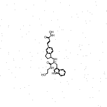 O=C(C=Cc1ccc2c(c1)CCC2N[C@@H](Cc1c[nH]c2ccccc12)C(=O)NCCO)NO